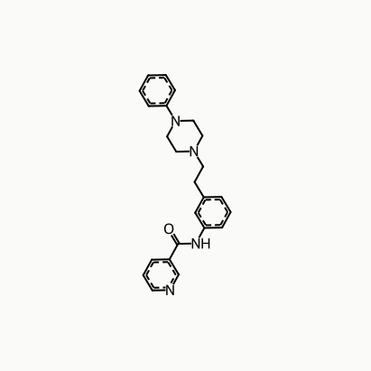 O=C(Nc1cccc(CCN2CCN(c3ccccc3)CC2)c1)c1cccnc1